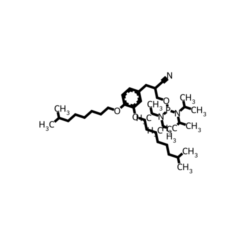 CC(C)CCCCCCOc1ccc(CC(C#N)COP(N(C(C)C)C(C)C)N(C(C)C)C(C)C)cc1OCCCCCCC(C)C